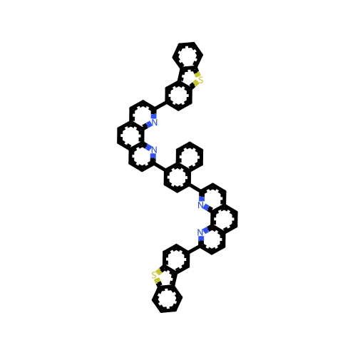 c1ccc2c(c1)sc1ccc(-c3ccc4ccc5ccc(-c6ccc(-c7ccc8ccc9ccc(-c%10ccc%11sc%12ccccc%12c%11c%10)nc9c8n7)c7ccccc67)nc5c4n3)cc12